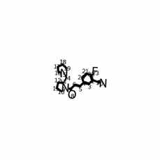 N#Cc1cc(/C=C/C(=O)N2CCC[C@H]2CN2CCCC2)ccc1F